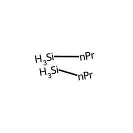 CCC[SiH3].CCC[SiH3]